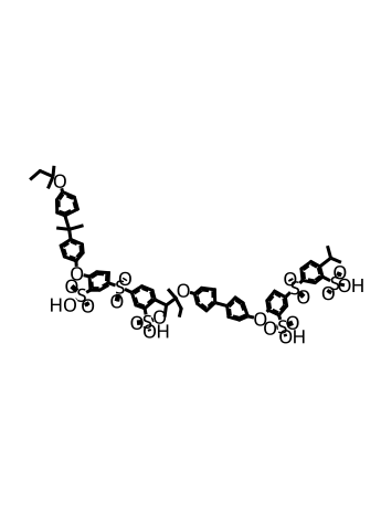 CCC(C)(C)Oc1ccc(C(C)(C)c2ccc(Oc3ccc(S(=O)(=O)c4ccc(C(C)C(C)(CC)Oc5ccc(-c6ccc(Oc7ccc(S(=O)(=O)c8ccc(C(C)C)c(S(=O)(=O)O)c8)cc7S(=O)(=O)O)cc6)cc5)c(S(=O)(=O)O)c4)cc3S(=O)(=O)O)cc2)cc1